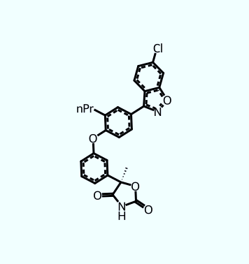 CCCc1cc(-c2noc3cc(Cl)ccc23)ccc1Oc1cccc([C@@]2(C)OC(=O)NC2=O)c1